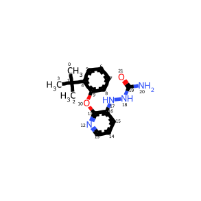 CC(C)(C)c1ccccc1Oc1ncccc1NNC(N)=O